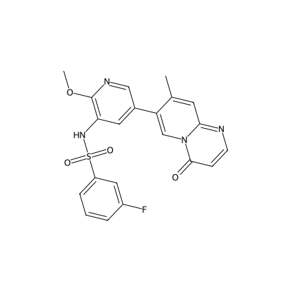 COc1ncc(-c2cn3c(=O)ccnc3cc2C)cc1NS(=O)(=O)c1cccc(F)c1